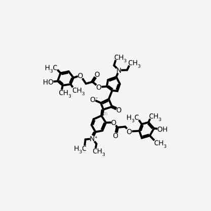 CCN(CC)c1ccc(C2=C([O-])/C(=C3\C=CC(=[N+](CC)CC)C=C3OC(=O)COc3cc(C)c(O)c(C)c3C)C2=O)c(OC(=O)COc2cc(C)c(O)c(C)c2C)c1